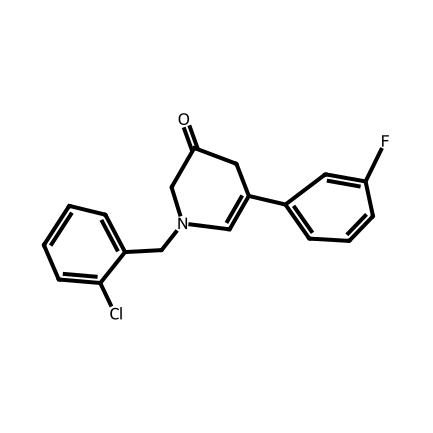 O=C1CC(c2cccc(F)c2)=CN(Cc2ccccc2Cl)C1